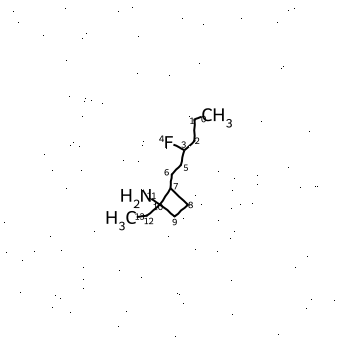 CCCC(F)CCC1CCC1(N)CC